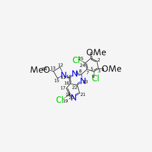 COc1cc(OC)c(Cl)c(-c2nc(N3CC(OC)C3)c3cc(Cl)ncc3n2)c1Cl